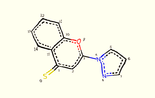 S=c1cc(-n2cccn2)oc2ccccc12